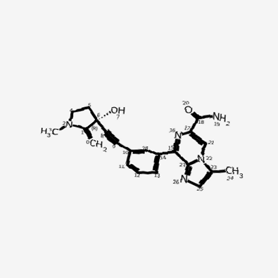 C=C1N(C)CC[C@@]1(O)C#Cc1cccc(-c2nc(C(N)=O)cn3c(C)cnc23)c1